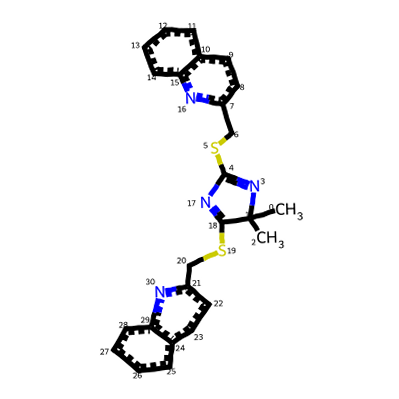 CC1(C)N=C(SCc2ccc3ccccc3n2)N=C1SCc1ccc2ccccc2n1